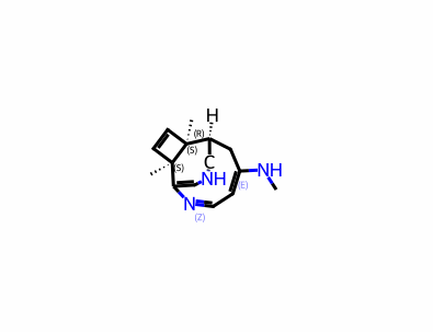 CN/C1=C/C=N\C2=CNC[C@H](C1)[C@]1(C)C=C[C@]21C